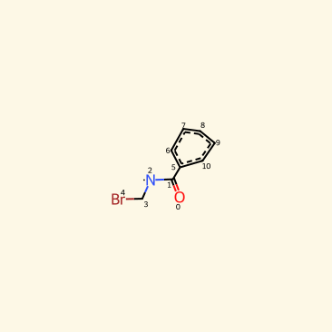 O=C([N]CBr)c1ccccc1